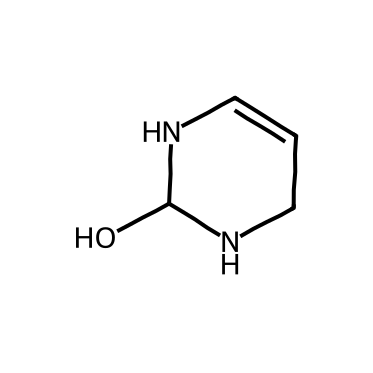 OC1NC=CCN1